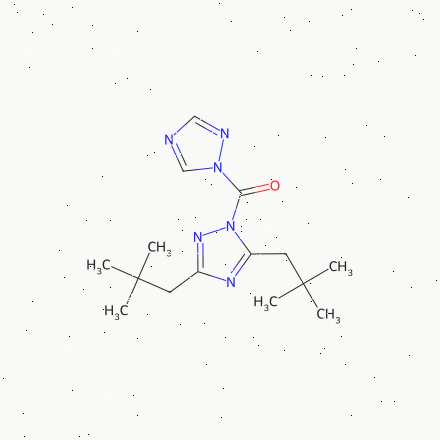 CC(C)(C)Cc1nc(CC(C)(C)C)n(C(=O)n2cncn2)n1